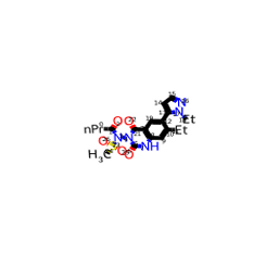 CCCC(=O)N(n1c(=O)[nH]c2cc(CC)c(-c3ccnn3CC)cc2c1=O)S(C)(=O)=O